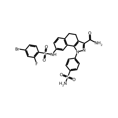 NC(=O)c1nn(-c2ccc(S(N)(=O)=O)cc2)c2c1CCc1ccc(NS(=O)(=O)c3ccc(Br)cc3F)cc1-2